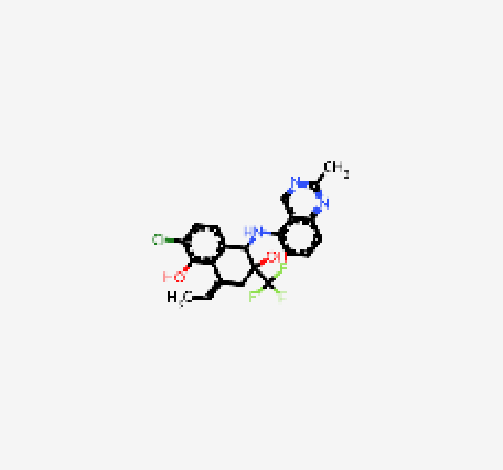 C/C=C1/CC(O)(C(F)(F)F)C(Nc2cccc3nc(C)ncc23)c2ccc(Cl)c(O)c21